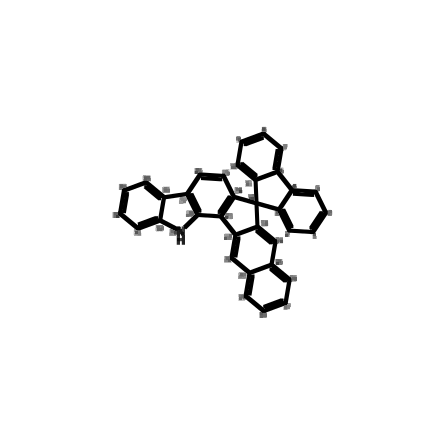 c1ccc2c(c1)-c1ccccc1C21c2cc3ccccc3cc2-c2c1ccc1c2[nH]c2ccccc21